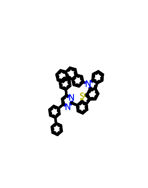 c1ccc(-c2cccc(-c3cc(-c4ccccc4)nc(-c4cccc5c4sc4c5ccc5c6ccccc6n(-c6ccc7c(ccc8ccccc87)c6)c54)n3)c2)cc1